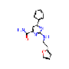 NC(=O)c1cc(-c2ccccc2)nc(NCCc2ccco2)n1